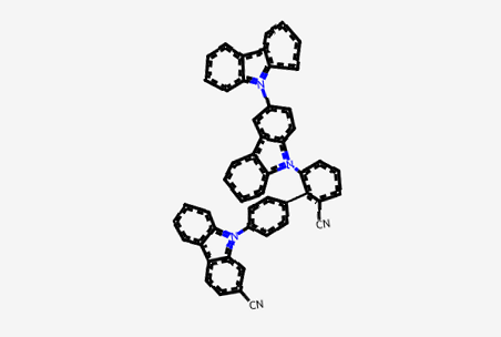 N#Cc1ccc2c3ccccc3n(-c3ccc(-c4c(C#N)cccc4-n4c5ccccc5c5cc(-n6c7ccccc7c7ccccc76)ccc54)cc3)c2c1